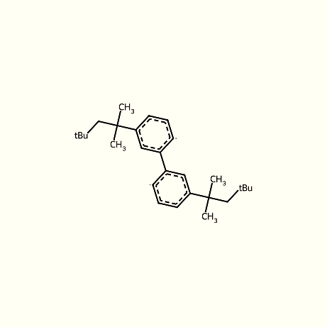 CC(C)(C)CC(C)(C)c1cc[c]c(-c2[c]ccc(C(C)(C)CC(C)(C)C)c2)c1